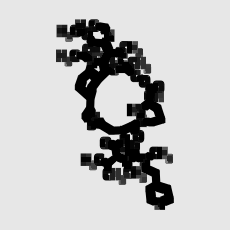 C=C/C(=C(\N=C/C)[C@H](C)OC)c1c2c3cc(ccc3n1CC)-c1csc(n1)C[C@H](NC(=O)[C@H](C(C)C)N(C)C(=O)N(C)CCc1ccncc1)C(=O)N1CCC[C@@](O)(N1)C(=O)OCC(C)(C)C2